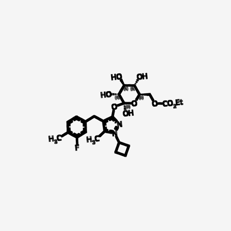 CCOC(=O)OC[C@H]1O[C@@](O)(Oc2nn(C3CCC3)c(C)c2Cc2ccc(C)c(F)c2)[C@H](O)[C@@H](O)[C@@H]1O